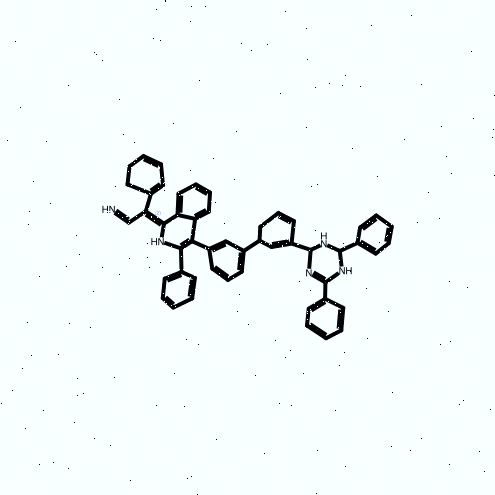 N=C/C(C1=CC=CCC1)=C1\NC(c2ccccc2)=C(c2cccc(C3C=C(C4N=C(c5ccccc5)NC(c5ccccc5)N4)C=CC3)c2)c2ccccc21